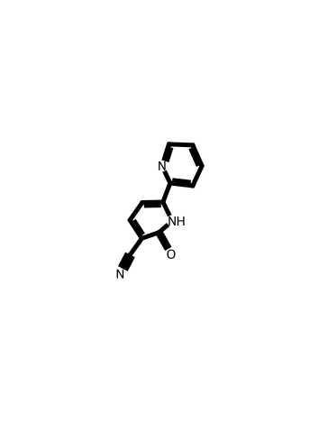 N#Cc1ccc(-c2ccccn2)[nH]c1=O